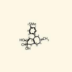 CSc1ccc(C2CN(C)CCC3=C2C=C(O)C(O)(Cl)C3)cc1